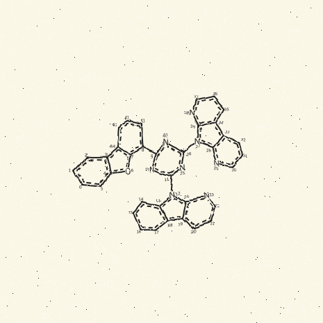 c1ccc2c(c1)oc1c(-c3nc(-n4c5ccccc5c5cccnc54)nc(-n4c5ncccc5c5cccnc54)n3)cccc12